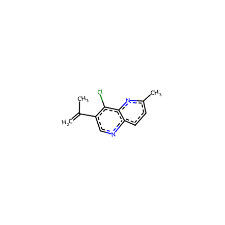 C=C(C)c1cnc2ccc(C)nc2c1Cl